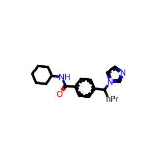 CCCC(c1ccc(C(=O)NC2CCCCC2)cc1)n1ccnc1